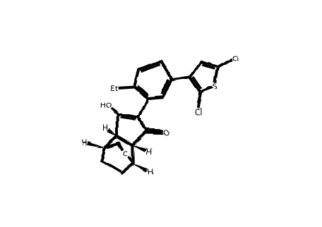 CCc1ccc(-c2cc(Cl)sc2Cl)cc1C1=C(O)[C@H]2[C@H]3CC[C@H](CC3)[C@H]2C1=O